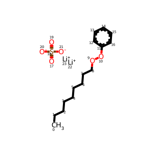 CCCCCCCCCOOc1ccccc1.O=S(=O)([O-])[O-].[Li+].[Li+]